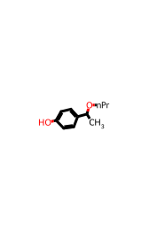 CCCOC(C)c1ccc(O)cc1